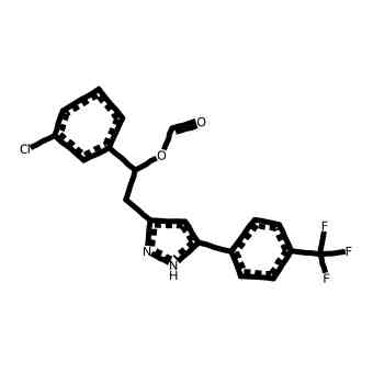 O=COC(Cc1cc(-c2ccc(C(F)(F)F)cc2)[nH]n1)c1cccc(Cl)c1